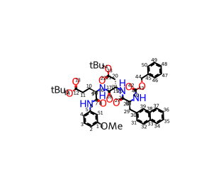 COc1cccc(NC(=O)[C@@H](CCC(=O)OC(C)(C)C)NC(=O)[C@H](CC(=O)OC(C)(C)C)NC(=O)[C@H](Cc2ccc3ccccc3c2)NC(=O)OCc2ccccc2)c1